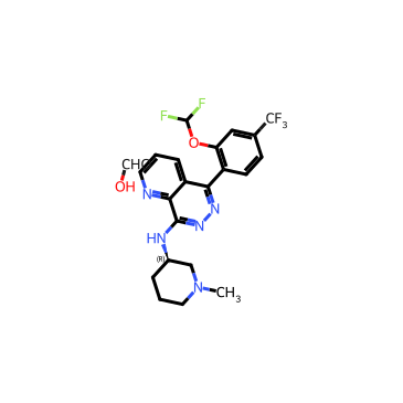 CN1CCC[C@@H](Nc2nnc(-c3ccc(C(F)(F)F)cc3OC(F)F)c3cccnc23)C1.O=CO